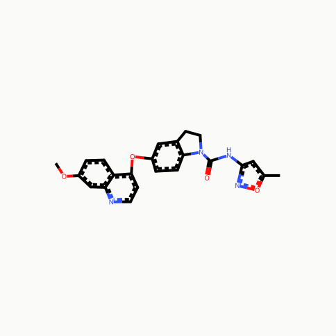 COc1ccc2c(Oc3ccc4c(c3)CCN4C(=O)Nc3cc(C)on3)ccnc2c1